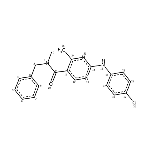 CN(Cc1ccccc1)C(=O)c1cnc(Nc2ccc(Cl)cc2)nc1C(F)(F)F